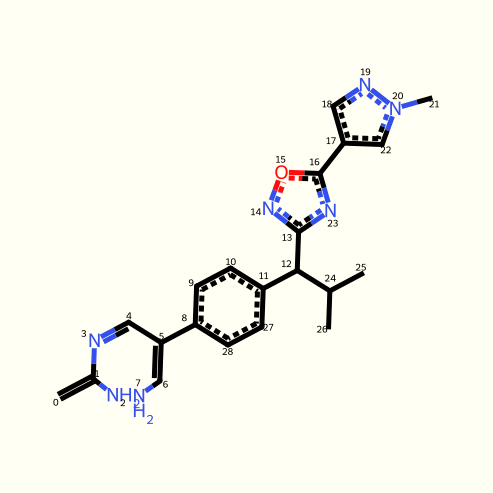 C=C(N)/N=C\C(=C/N)c1ccc(C(c2noc(-c3cnn(C)c3)n2)C(C)C)cc1